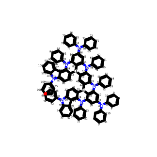 c1ccc(N(c2ccccc2)c2cc3c4c(c2)N(c2ccccc2)c2c(ccc5c2c2ccccc2n5-c2ccccc2)B4c2cc4c(cc2N3c2ccccc2)N(c2ccccc2)c2cc(N(c3ccccc3)c3ccccc3)cc3c2B4c2ccc4c(c2N3c2ccccc2)c2ccccc2n4-c2ccccc2)cc1